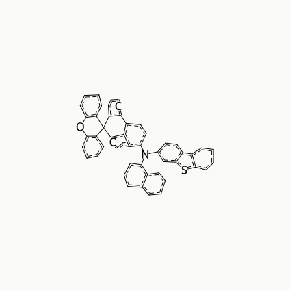 c1ccc2c(c1)Oc1ccccc1C21c2ccccc2-c2ccc(N(c3ccc4c(c3)sc3ccccc34)c3cccc4ccccc34)c3cccc1c23